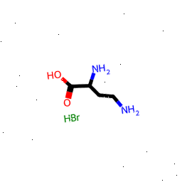 Br.NCCC(N)C(=O)O